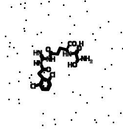 N=C(NC(=O)CC[C@H](NC(=O)[C@H](N)O)C(=O)O)NC(=O)Cc1c(Cl)cccc1Cl